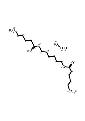 O=C(O)CCCCC(=O)OCCCCCCOC(=O)CCCCC(=O)O.O=C(O)O